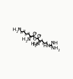 N=C(N)NCCC[C@H](N)C(=O)OC(=O)[C@@H](N)CCCCN.[Fe]